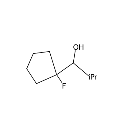 CC(C)C(O)C1(F)CCCC1